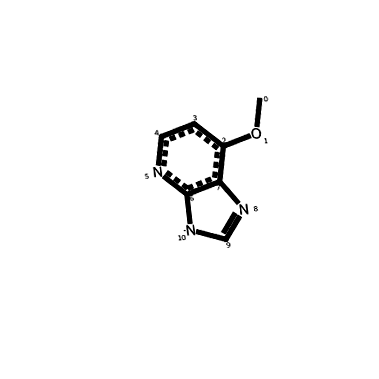 COc1ccnc2c1N=C[N]2